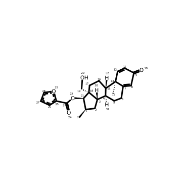 C[C@@H]1C[C@H]2[C@@H]3CCC4=CC(=O)C=C[C@]4(C)[C@H]3CC[C@]2(CO)[C@@H]1OC(=O)c1ccco1